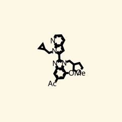 COc1cc(C(C)=O)cc2nc(-c3cc4cccnc4n3CC3CC3)n(CC3CCOC3)c12